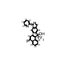 OC(c1ccc2c(cnn2-c2ccccn2)c1)(c1ccc(F)c2ccccc12)C(F)(F)F